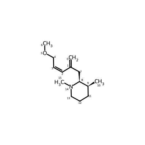 C=C(/C=C\COC)C[C@H]1[C@@H](C)CCCN1C